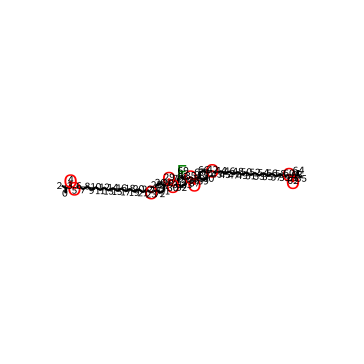 C=C(C)C(=O)OCCCCCCCCCCCCCCCCCOc1ccc(C(=O)Oc2ccc(OC(=O)c3ccc(OCCCCCCCCCCCCCCCCCOC(=O)C(=C)C)cc3)c(F)c2)cc1